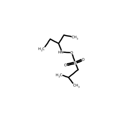 CCC(CC)NOS(=O)(=O)CC(C)C